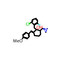 COc1ccc(C=C2CCCC(CN(C)C)C2(O)Cc2c(F)cccc2Cl)cc1